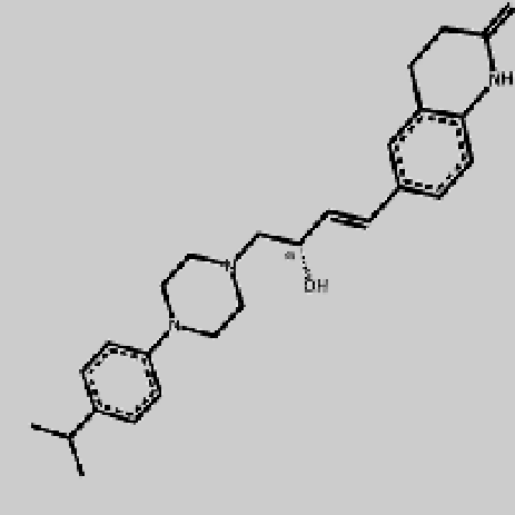 CC(C)c1ccc(N2CCN(C[C@@H](O)C=Cc3ccc4c(c3)CCC(=O)N4)CC2)cc1